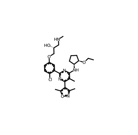 CCO[C@@H]1CCC[C@@H]1Nc1nc(-c2cc(OC[C@H](O)CNC)ccc2Cl)nc(-c2c(C)noc2C)c1C